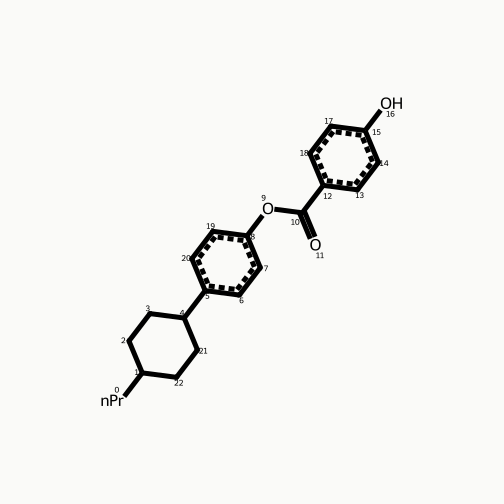 CCCC1CCC(c2ccc(OC(=O)c3ccc(O)cc3)cc2)CC1